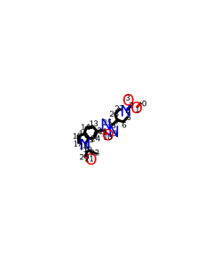 COC(=O)N1CCC(c2noc(-c3ccc4ccn(C5COC5)c4c3)n2)CC1